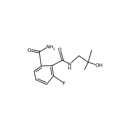 CC(C)(O)CNC(=O)c1c(F)cccc1C(N)=O